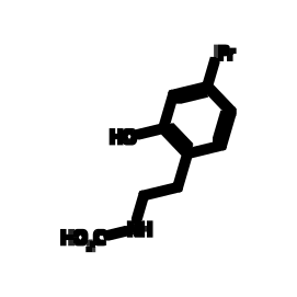 CC(C)c1ccc(CCNC(=O)O)c(O)c1